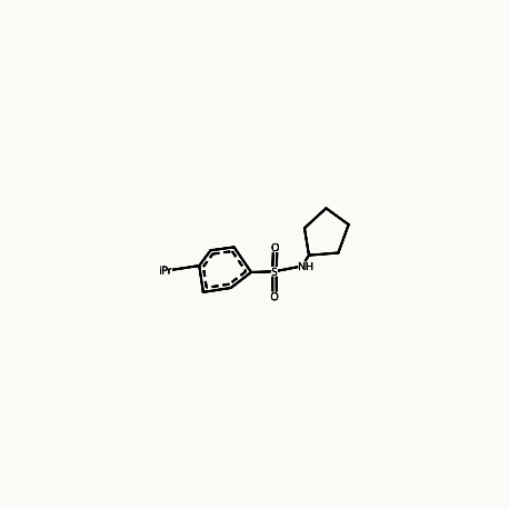 CC(C)c1ccc(S(=O)(=O)NC2CCCC2)cc1